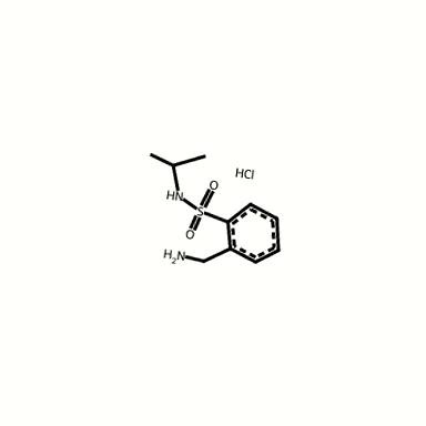 CC(C)NS(=O)(=O)c1ccccc1CN.Cl